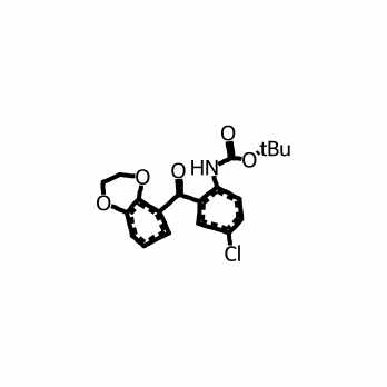 CC(C)(C)OC(=O)Nc1ccc(Cl)cc1C(=O)c1cccc2c1OCCO2